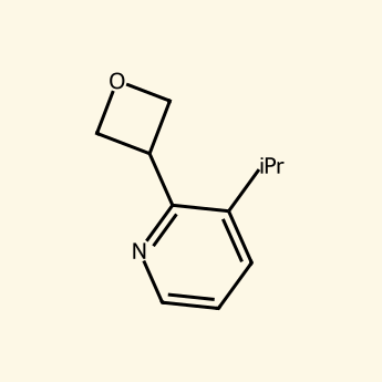 CC(C)c1cccnc1C1COC1